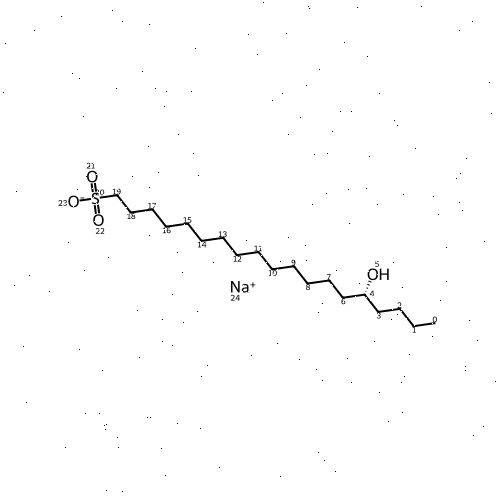 CCCC[C@@H](O)CCCCCCCCCCCCCCS(=O)(=O)[O-].[Na+]